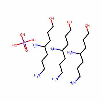 NCCCC(N)CCCO.NCCCC(N)CCCO.NCCCC(N)CCCO.O=P(O)(O)O